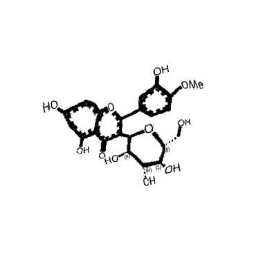 COc1ccc(-c2oc3cc(O)cc(O)c3c(=O)c2C2O[C@H](CO)[C@@H](O)[C@H](O)[C@H]2O)cc1O